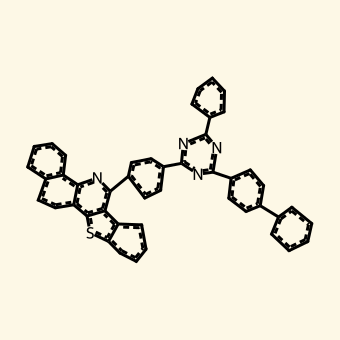 c1ccc(-c2ccc(-c3nc(-c4ccccc4)nc(-c4ccc(-c5nc6c7ccccc7ccc6c6sc7ccccc7c56)cc4)n3)cc2)cc1